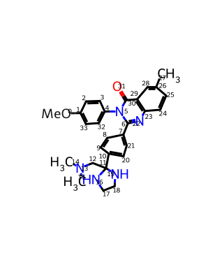 COc1ccc(-n2c(-c3ccc(C4(CN(C)C)NCCN4)cc3)nc3ccc(C)cc3c2=O)cc1